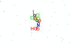 CCCCc1cc(Cl)c(COc2ccc3c(c2)OCC32CCN(CCC(=O)O)CC2)c(Cl)c1.Cl